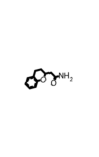 NC(=O)CC1CCc2ccccc2O1